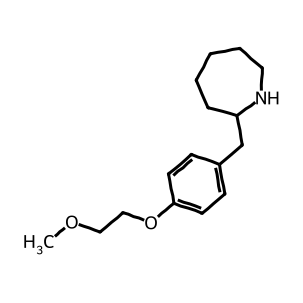 COCCOc1ccc(CC2CCCCCN2)cc1